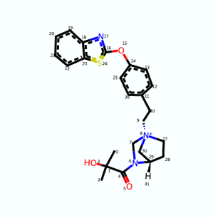 CC(C)(O)C(=O)N1C[N@@+]2(CCc3ccc(Oc4nc5ccccc5s4)cc3)CC[C@H]1C2